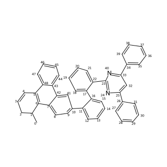 CC1CC=Cc2c1c1ccc(-c3ccccc3-c3ccccc3-c3nc(-c4ccccc4)cc(-c4ccccc4)n3)cc1c1ccccc21